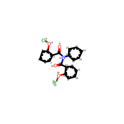 O=C(c1ccccc1OCl)N(C(=O)c1ccccc1OBr)c1ccccc1